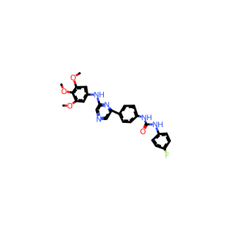 COc1cc(Nc2cncc(-c3ccc(NC(=O)Nc4ccc(F)cc4)cc3)n2)cc(OC)c1OC